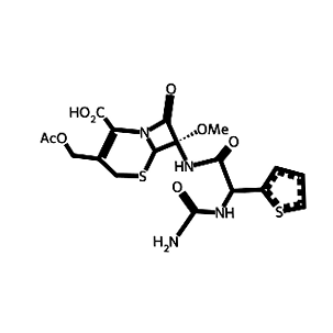 CO[C@@]1(NC(=O)C(NC(N)=O)c2cccs2)C(=O)N2C(C(=O)O)=C(COC(C)=O)CSC21